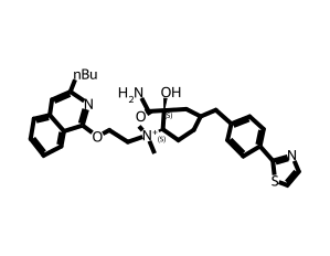 CCCCc1cc2ccccc2c(OCC[N+](C)(C)[C@H]2CCC(Cc3ccc(-c4nccs4)cc3)C[C@@]2(O)C(N)=O)n1